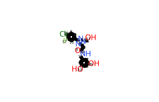 O=C(Cc1nc(-c2ccc(Cl)c(F)c2)nn1CO)NCc1cc(O)cc(O)c1